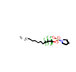 O=S(=O)(OC(F)(F)C(F)(F)C(F)(F)CCCCCCC(F)(F)F)[n+]1ccccc1